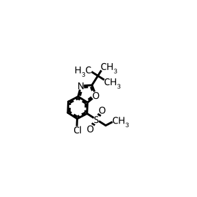 CCS(=O)(=O)c1c(Cl)ccc2nc(C(C)(C)C)oc12